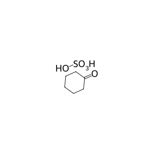 O=C1CCCCC1.O=S(=O)(O)O